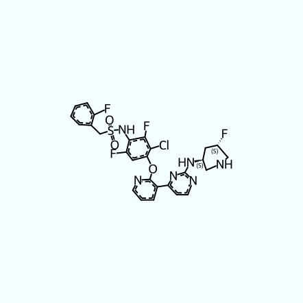 O=S(=O)(Cc1ccccc1F)Nc1c(F)cc(Oc2ncccc2-c2ccnc(N[C@@H]3CNC[C@@H](F)C3)n2)c(Cl)c1F